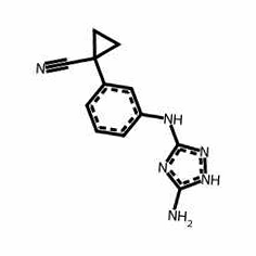 N#CC1(c2cccc(Nc3n[nH]c(N)n3)c2)CC1